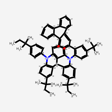 CCC(C)(C)c1ccc(N2c3ccc(C(C)(C)CC)cc3B3c4cc(C(C)(C)CC)ccc4N(c4ccc(C(C)(C)C)cc4-c4ccc5c6ccccc6c6ccccc6c5c4)c4cccc2c43)cc1